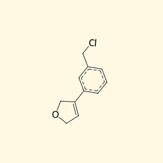 ClCc1cccc(C2=CCOC2)c1